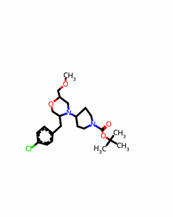 COCC1CN(C2CCN(C(=O)OC(C)(C)C)CC2)C(Cc2ccc(Cl)cc2)CO1